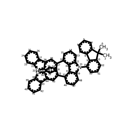 CC1(C)c2ccccc2-c2c(-n3c4cccc(-c5ccc6oc7ccccc7c6c5)c4c4c(-c5ccc6oc7ccccc7c6c5)cccc43)cccc21